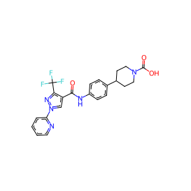 O=C(Nc1ccc(C2CCN(C(=O)O)CC2)cc1)c1cn(-c2ccccn2)nc1C(F)(F)F